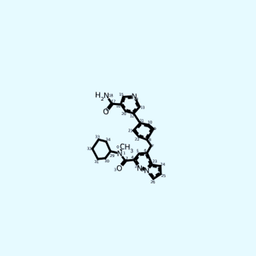 CN(C(=O)c1cc(Cc2ccc(-c3cncc(C(N)=O)c3)cc2)c2cccn2n1)C1CCCCC1